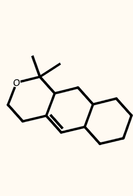 CC1(C)OCCC2=CC3CCCCC3CC21